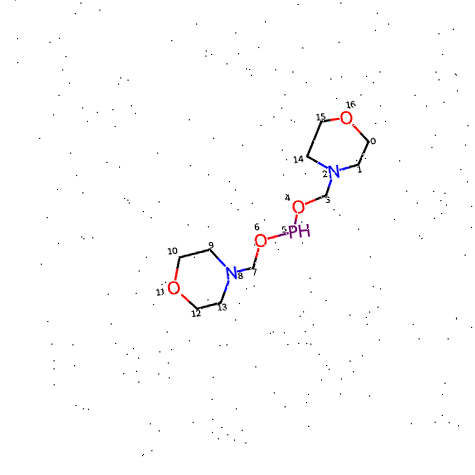 C1CN(COPOCN2CCOCC2)CCO1